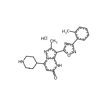 Cc1ccccc1-c1noc(-c2c(C)nn3c(C4CCNCC4)cc(=O)[nH]c23)n1.Cl